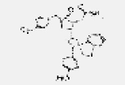 NC(=O)CC1C(=O)N(Cc2ccc(Cl)cc2)CC1C1CC2(CCc3ccccc32)C(c2ccc(O)cc2)=N1